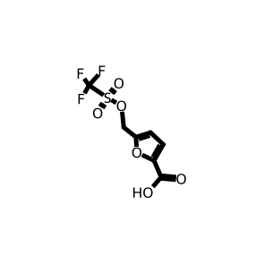 O=C(O)c1ccc(COS(=O)(=O)C(F)(F)F)o1